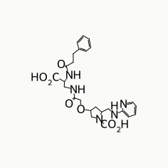 O=C(COC1CC(CNc2ccccn2)N(C(=O)O)C1)NCC(NC(=O)CCc1ccccc1)C(=O)O